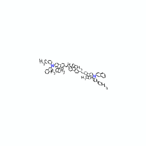 Cc1cccc(N(c2ccc3c(c2)C(C)(C)c2cc(/C=C/c4ccc5c(c4)C(C)(C)c4cc(/C=C/c6ccc7c(c6)C(C)(C)c6cc(N(c8cccc(C)c8)c8ccc9ccccc9c8)ccc6-7)ccc4-5)ccc2-3)c2ccc3ccccc3c2)c1